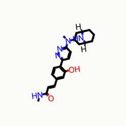 CNC(=O)/C=C/c1ccc(-c2ccc(N(C)C3C[C@H]4CCC[C@@H](C3)N4)nn2)c(O)c1